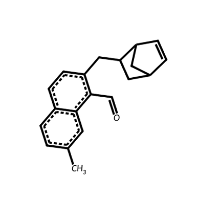 Cc1ccc2ccc(CC3CC4C=CC3C4)c(C=O)c2c1